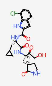 O=C(N[C@@H](CC1CC1)C(=O)N[C@@H](C[C@@H]1CCNC1=O)C(=O)CO)c1cc2cccc(Cl)c2[nH]1